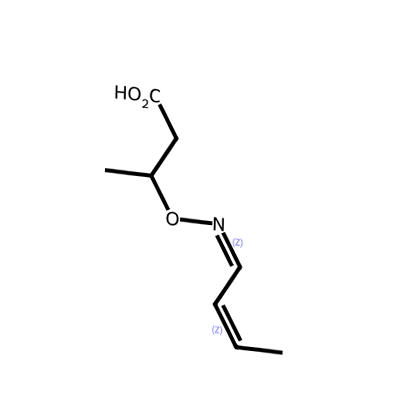 C/C=C\C=N/OC(C)CC(=O)O